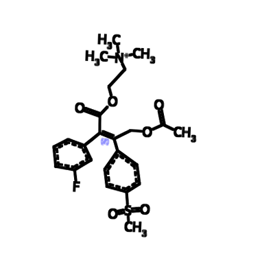 CC(=O)OC/C(=C(\C(=O)OCC[N+](C)(C)C)c1cccc(F)c1)c1ccc(S(C)(=O)=O)cc1